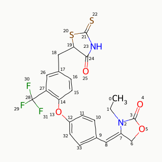 CCN1C(=O)OC/C1=C/c1ccc(Oc2ccc(CC3SC(=S)NC3=O)cc2C(F)(F)F)cc1